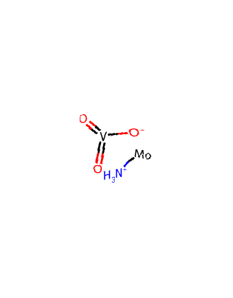 [NH3+][Mo].[O]=[V](=[O])[O-]